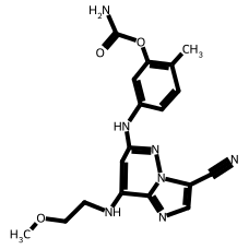 COCCNc1cc(Nc2ccc(C)c(OC(N)=O)c2)nn2c(C#N)cnc12